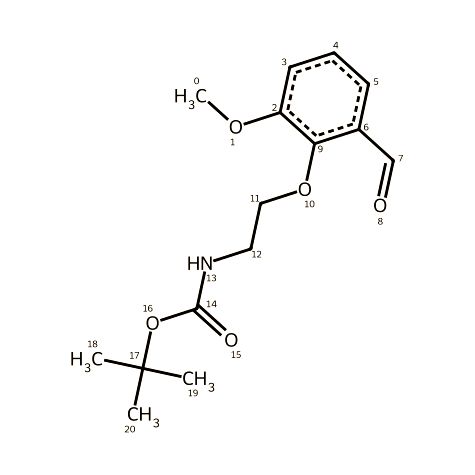 COc1cccc(C=O)c1OCCNC(=O)OC(C)(C)C